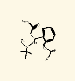 CC(C)(C)[S+]([O-])N[C@H](CC(=O)O)c1ccccc1OC(F)F